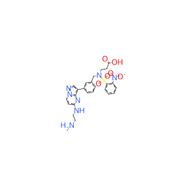 NCCNc1ccn2ncc(-c3cccc(CN(CCC(=O)O)S(=O)(=O)c4ccccc4[N+](=O)[O-])c3)c2n1